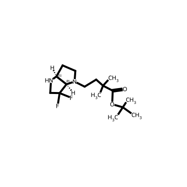 CC(C)(C)OC(=O)C(C)(C)CCN1CC[C@@H]2NCC(F)(F)[C@@H]21